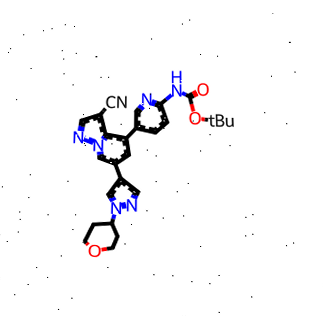 CC(C)(C)OC(=O)Nc1ccc(-c2cc(-c3cnn(C4CCOCC4)c3)cn3ncc(C#N)c23)cn1